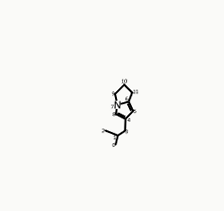 CC(C)Cc1cc2n(c1)CCC2